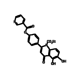 CCOC(=O)n1c(-c2ccc(OC(=O)c3cccnc3)cc2)cc(=O)c2c(O)c(O)ccc21